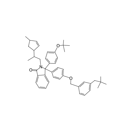 CC1C=CC(C(C)CN2C(=O)c3ccccc3C2(c2ccc(OCc3cccc(CC(C)(C)C)c3)cc2)c2ccc(OC(C)(C)C)cc2)C1